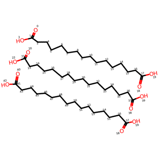 O=C(O)CCCCCCCCCCCCCCC(=O)O.O=C(O)CCCCCCCCCCCCCCC(=O)O.O=C(O)CCCCCCCCCCCCCCC(=O)O